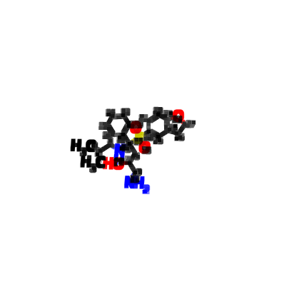 CC(C)CNC(CC(O)CN)(c1ccccc1)S(=O)(=O)c1ccc2c(c1)CCO2